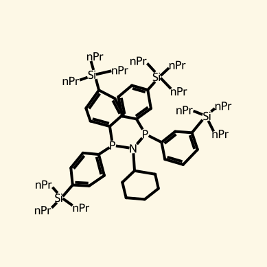 CCC[Si](CCC)(CCC)c1ccc(P(c2ccc([Si](CCC)(CCC)CCC)cc2)N(C2CCCCC2)P(c2cccc([Si](CCC)(CCC)CCC)c2)c2cccc([Si](CCC)(CCC)CCC)c2)cc1